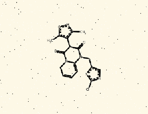 Cc1noc(C)c1C1C(=O)N2CC=CC=C2N(Cc2cnc(Cl)s2)C1=O